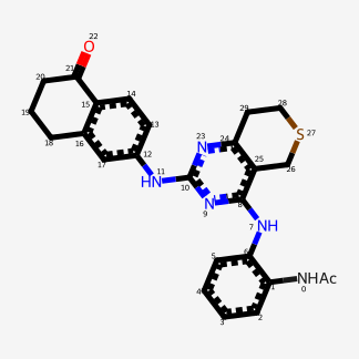 CC(=O)Nc1ccccc1Nc1nc(Nc2ccc3c(c2)CCCC3=O)nc2c1CSCC2